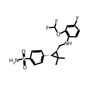 CC1(C)[C@H](CNc2ccc(F)cc2OC(F)F)[C@H]1c1ccc(S(N)(=O)=O)cc1